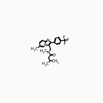 Cc1ccc2nc(-c3ccc(C(F)(F)F)cc3)c(CN(C)C(=O)CC(C)C)n2c1